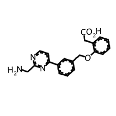 NCc1nccc(-c2cccc(COc3ccccc3CC(=O)O)c2)n1